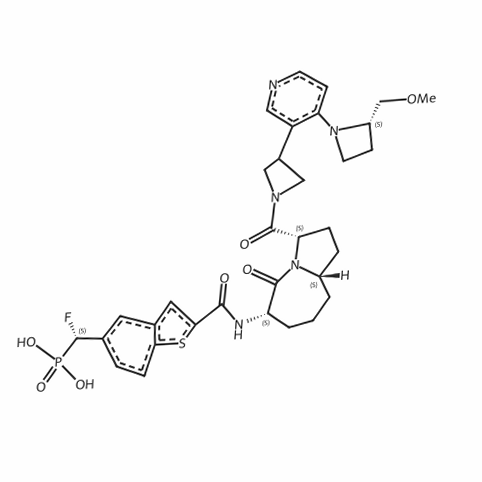 COC[C@@H]1CCN1c1ccncc1C1CN(C(=O)[C@@H]2CC[C@@H]3CCC[C@H](NC(=O)c4cc5cc([C@@H](F)P(=O)(O)O)ccc5s4)C(=O)N32)C1